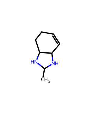 CC1NC2C=CCCC2N1